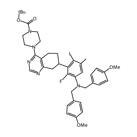 COc1ccc(CN(Cc2ccc(OC)cc2)c2cc(C)c(I)c(C3CCc4c(ncnc4N4CCN(C(=O)OC(C)(C)C)CC4)C3)c2F)cc1